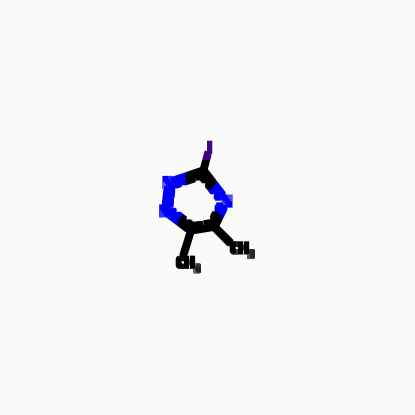 Cc1nnc(I)nc1C